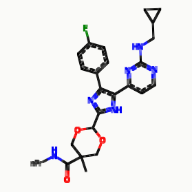 CCCNC(=O)C1(C)COC(c2nc(-c3ccc(F)cc3)c(-c3ccnc(NCC4CC4)n3)[nH]2)OC1